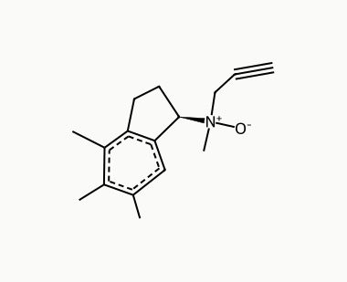 C#CC[N+](C)([O-])[C@@H]1CCc2c1cc(C)c(C)c2C